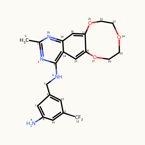 Cc1nc(NCc2cc(N)cc(C(F)(F)F)c2)c2cc3c(cc2n1)OCCOCCO3